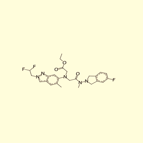 CCOC(=O)CN(CC(=O)N(C)N1Cc2ccc(F)cc2C1)c1cc2nn(CC(F)F)cc2cc1C